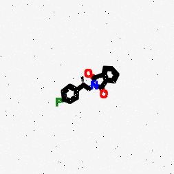 C[C@H](CN1C(=O)c2ccccc2C1=O)c1ccc(F)cc1